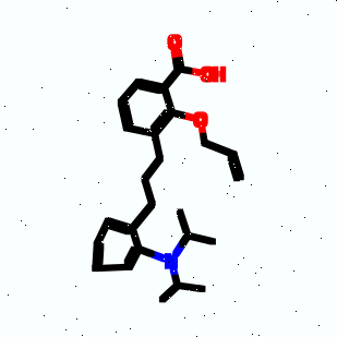 C=CCOc1c(CCCc2ccccc2N(C(C)C)C(C)C)cccc1C(=O)O